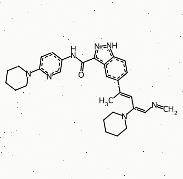 C=N/C=C(\C=C(/C)c1ccc2[nH]nc(C(=O)Nc3ccc(N4CCCCC4)nc3)c2c1)N1CCCCC1